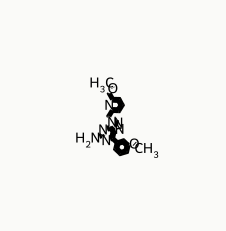 COCc1cccc(Cn2nnc3c(-c4cccc(OC)c4)nc(N)nc32)n1